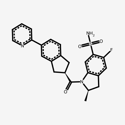 C[C@@H]1Cc2cc(F)c(S(N)(=O)=O)cc2N1C(=O)[C@@H]1Cc2ccc(-c3ccccn3)cc2C1